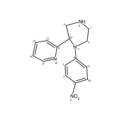 O=[N+]([O-])c1ccc(N2CCNCC2c2ccccn2)cc1